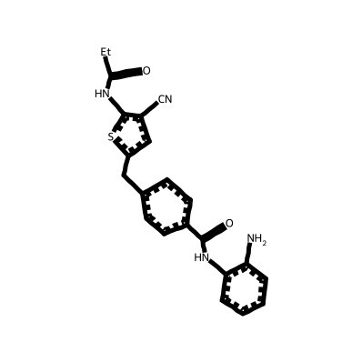 CCC(=O)Nc1sc(Cc2ccc(C(=O)Nc3ccccc3N)cc2)cc1C#N